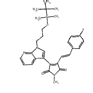 CN1C(=O)C(/C=C/c2ccc(F)cc2)=C(c2cn(CCCO[Si](C)(C)C(C)(C)C)c3ncccc23)C1=O